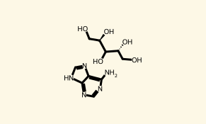 Nc1ncnc2[nH]cnc12.OC[C@@H](O)C(O)[C@H](O)CO